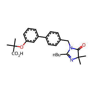 CCCCC1=NC(C)(C)C(=O)N1Cc1ccc(-c2cccc(OC(C)(C)C(=O)O)c2)cc1